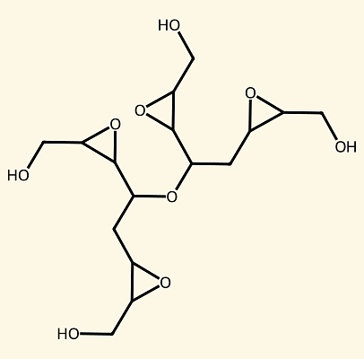 OCC1OC1CC(OC(CC1OC1CO)C1OC1CO)C1OC1CO